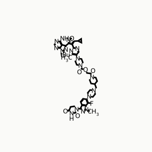 Cc1nc(-c2c(-c3nn(C(C)(C)C)c4ncnc(N)c34)noc2C2CC2)ncc1N1CCN(C(=O)OCC(=O)N2CCC(CN3CCN(c4ccc5c(N6CCC(=O)NC6=O)nn(C)c5c4F)CC3)CC2)CC1